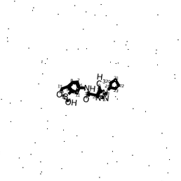 Cc1c(C(=O)Nc2ccc3c(c2)B(O)OC3)nnn1C1CCCC1